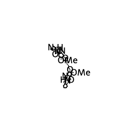 COc1cc2c(cc1OCCCCCOc1cc3c(cc1OC)C(=O)N1c4ccncc4C[C@H]1C=N3)N=C[C@@H]1Cc3ccccc3CN1C2=O